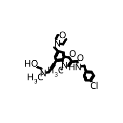 CN(CC#Cc1cc(CN2CCOCC2)cc2c(=O)c(C(=O)NCc3ccc(Cl)cc3)cn(C)c12)CCO